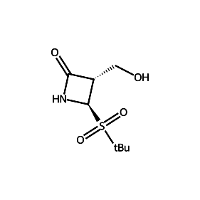 CC(C)(C)S(=O)(=O)[C@H]1NC(=O)[C@@H]1CO